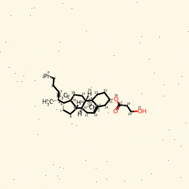 CC(C)CCC[C@@H](C)[C@H]1CC[C@H]2[C@@H]3CC=C4C[C@@H](OC(=O)CCO)CC[C@]4(C)[C@H]3CC[C@]12C